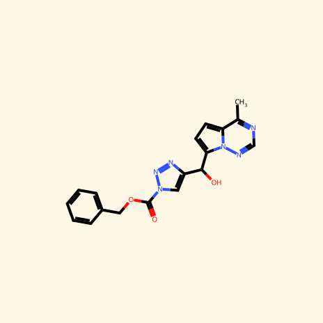 Cc1ncnn2c(C(O)c3cn(C(=O)OCc4ccccc4)nn3)ccc12